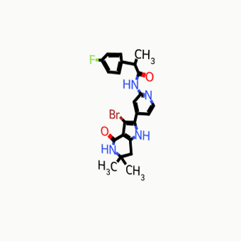 CC(C(=O)Nc1cc(-c2[nH]c3c(c2Br)C(=O)NC(C)(C)C3)ccn1)c1ccc(F)cc1